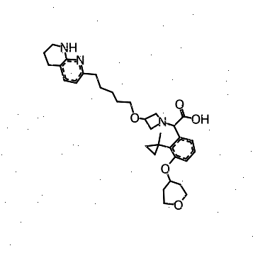 CC1(c2c(OC3CCOCC3)cccc2C(C(=O)O)N2CC(OCCCCCc3ccc4c(n3)NCCC4)C2)CC1